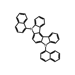 c1ccc2c(-n3c4ccccc4c4c5c6ccccc6n(-c6cccc7ccccc67)c5ccc43)cccc2c1